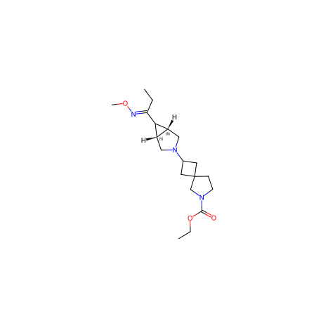 CCOC(=O)N1CCC2(CC(N3C[C@@H]4C(C(CC)=NOC)[C@@H]4C3)C2)C1